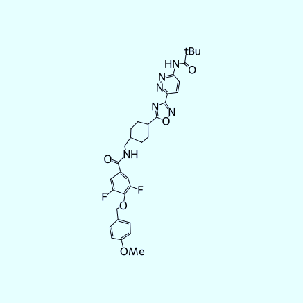 COc1ccc(COc2c(F)cc(C(=O)NCC3CCC(c4nc(-c5ccc(NC(=O)C(C)(C)C)nn5)no4)CC3)cc2F)cc1